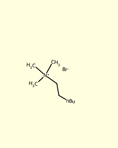 CCCCCC[N+](C)(C)C.[Br-]